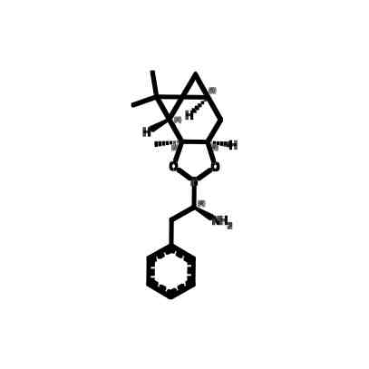 CC1(C)[C@@H]2C13C[C@H]3C[C@H]1OB([C@@H](N)Cc3ccccc3)O[C@@]21C